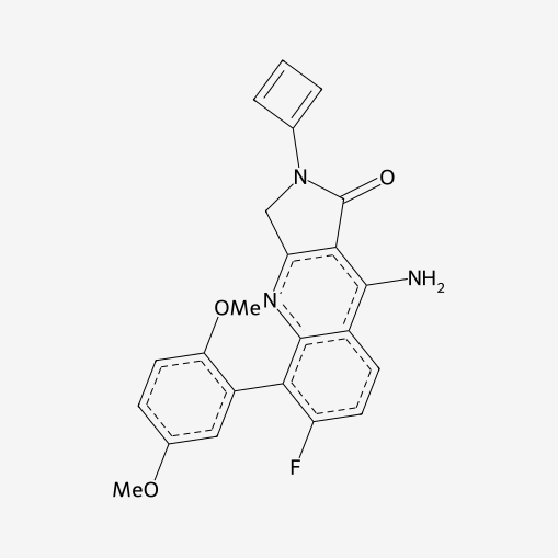 COc1ccc(OC)c(-c2c(F)ccc3c(N)c4c(nc23)CN(C2=CC=C2)C4=O)c1